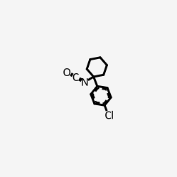 O=C=NC1(c2ccc(Cl)cc2)CCCCC1